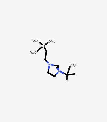 CCC(C)(C(=O)O)[N+]1=CN(CC[Si](OC)(OC)OC)CC1